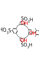 Cc1cccc(C)c1-c1cc2c(O)c(c1)Cc1cc(S(=O)(=O)O)cc(c1O)Cc1cc(cc(S(=O)(=O)O)c1)Cc1cc(S(=O)(=O)O)cc(c1O)C2